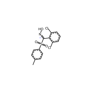 Cc1ccc(S(=O)(=O)/C(=N/O)c2c(Cl)cccc2Cl)cc1